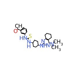 CC(=O)c1cccc(NC(=S)NC2CCC(Nc3nc4c(c(N(C)C)n3)CCCC4)CC2)c1